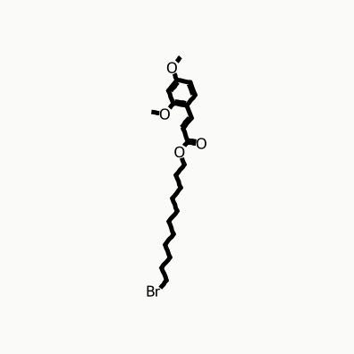 COc1ccc(C=CC(=O)OCCCCCCCCCCCBr)c(OC)c1